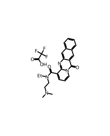 CCN(CCN(C)C)C(=O)c1cccn2c(=O)c3cc4ccccc4cc3nc12.O=C(O)C(F)(F)F